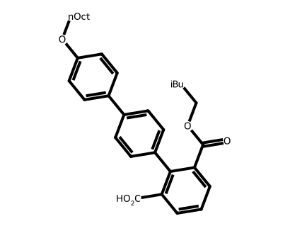 CCCCCCCCOc1ccc(-c2ccc(-c3c(C(=O)O)cccc3C(=O)OCC(C)CC)cc2)cc1